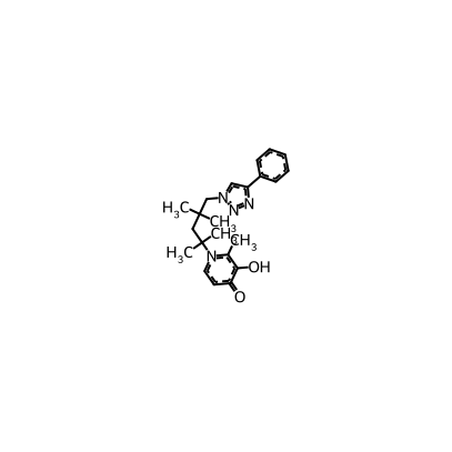 Cc1c(O)c(=O)ccn1C(C)(C)CC(C)(C)Cn1cc(-c2ccccc2)nn1